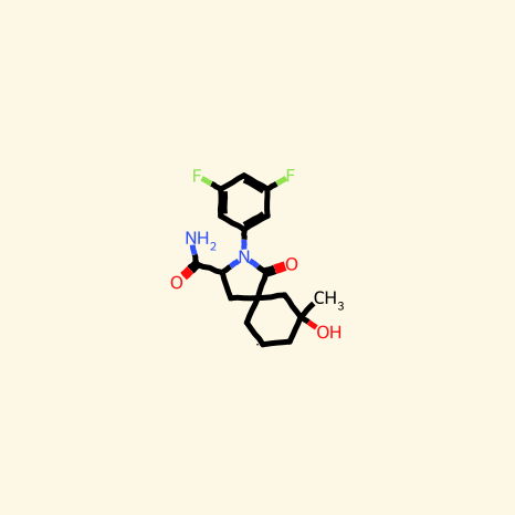 CC1(O)C[CH]CC2(CC(C(N)=O)N(c3cc(F)cc(F)c3)C2=O)C1